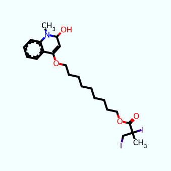 CN1c2ccccc2C(OCCCCCCCCCOC(=O)C(C)(I)CI)=CC1O